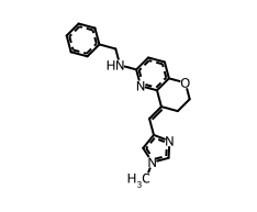 Cn1cnc(/C=C2\CCOc3ccc(NCc4ccccc4)nc32)c1